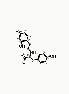 O=C(O)[C@H](Cc1ccc(O)cc1)NCCc1ccc(O)cc1O